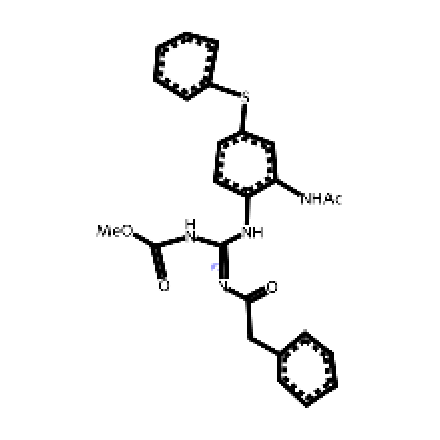 COC(=O)N/C(=N/C(=O)Cc1ccccc1)Nc1ccc(Sc2ccccc2)cc1NC(C)=O